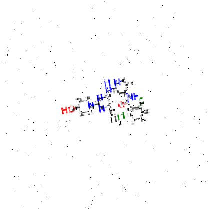 Cc1cc(Nc2cc(NC(=O)c3c(Cl)cccc3Cl)ccn2)nc(N2CCC(O)CC2)n1